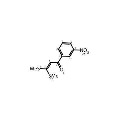 CSC(=CC(=O)c1cccc([N+](=O)[O-])c1)SC